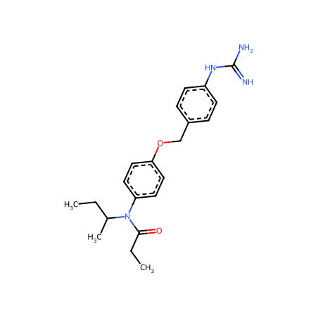 CCC(=O)N(c1ccc(OCc2ccc(NC(=N)N)cc2)cc1)C(C)CC